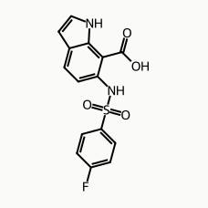 O=C(O)c1c(NS(=O)(=O)c2ccc(F)cc2)ccc2cc[nH]c12